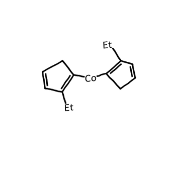 CCC1=[C]([Co][C]2=C(CC)C=CC2)CC=C1